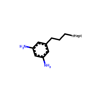 CCCCCCCCCCc1cc(N)cc(N)c1